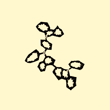 c1ccc(N(c2ccc(-n3c4ccccc4c4ccccc43)cc2)c2ccc(-c3ccc4c5ccccc5n(-c5ccccc5)c4c3)c3ccccc23)cc1